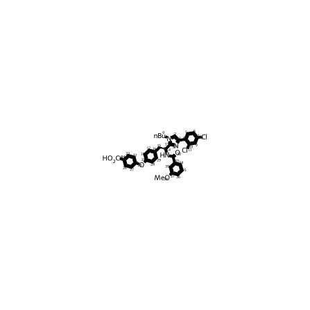 CCCCn1cc(-c2ccc(Cl)cc2Cl)nc1[C@H](Cc1ccc(Oc2ccc(C(=O)O)cc2)cc1)NC(=O)c1cccc(OC)c1